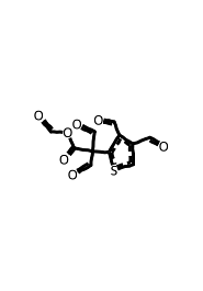 O=COC(=O)C(C=O)(C=O)c1scc(C=O)c1C=O